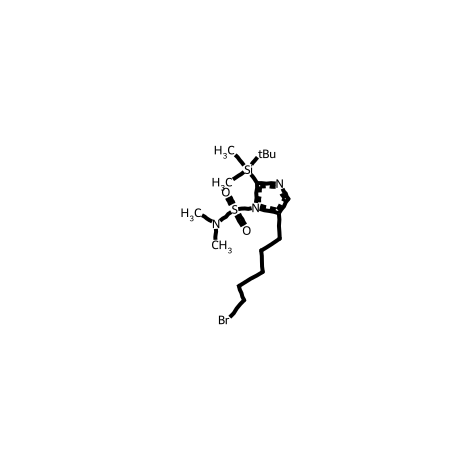 CN(C)S(=O)(=O)n1c(CCCCCBr)cnc1[Si](C)(C)C(C)(C)C